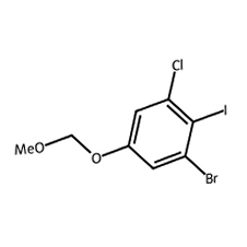 COCOc1cc(Cl)c(I)c(Br)c1